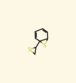 C1=CC2SC2(C2CS2)C=C1